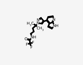 CC(C)(CCCNC(=O)C(F)(F)F)n1cc(-c2ccnc3[nH]ccc23)cn1